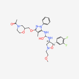 COCCN1C[C@@H](NC(O)Nc2c(C)c(OCC3CN(C(C)=O)CCO3)nn2-c2ccccc2)[C@H](c2ccc(F)c(F)c2)O1